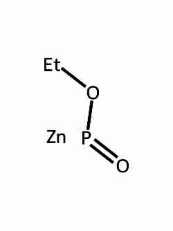 CCOP=O.[Zn]